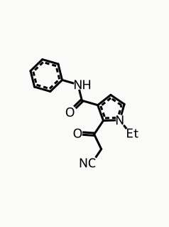 CCn1ccc(C(=O)Nc2ccccc2)c1C(=O)CC#N